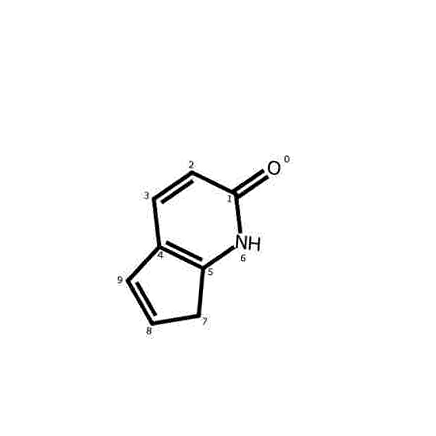 O=c1ccc2c([nH]1)CC=C2